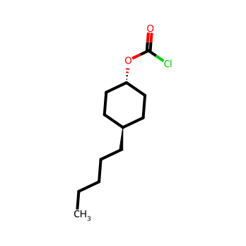 CCCCC[C@H]1CC[C@H](OC(=O)Cl)CC1